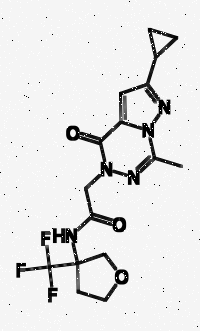 Cc1nn(CC(=O)NC2(C(F)(F)F)CCOC2)c(=O)c2cc(C3CC3)nn12